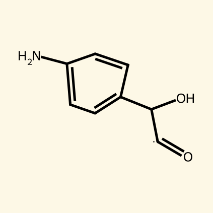 Nc1ccc(C(O)[C]=O)cc1